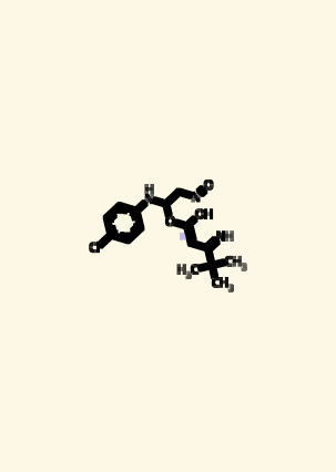 CC(C)(C)C(=N)/C=C(\O)OC(CN=O)Nc1ccc(Cl)cc1